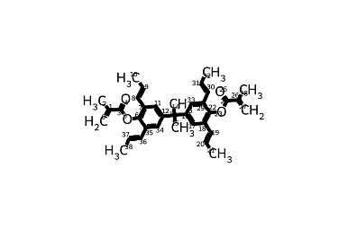 C=C(C)C(=O)Oc1c(C=CC)cc(C(C)(C)c2cc(C=CC)c(OC(=O)C(=C)C)c(C=CC)c2)cc1C=CC